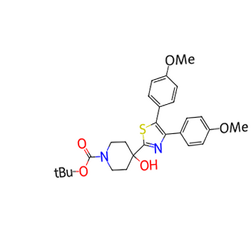 COc1ccc(-c2nc(C3(O)CCN(C(=O)OC(C)(C)C)CC3)sc2-c2ccc(OC)cc2)cc1